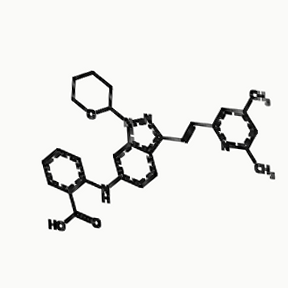 Cc1cc(C)nc(C=Cc2nn(C3CCCCO3)c3cc(Nc4ccccc4C(=O)O)ccc23)c1